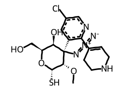 CO[C@@H]1[C@H](S)O[C@@H](CO)[C@@H](O)[C@]1(N=[N+]=[N-])c1cc(Cl)cnc1C1=CCNCC1